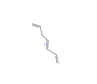 [CH]=C/C=C/CC=C